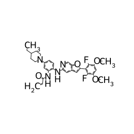 C=CC(=O)Nc1cc(N2CCC(CC)CC2)ccc1Nc1cc2cc(-c3c(F)c(OC)cc(OC)c3F)oc2cn1